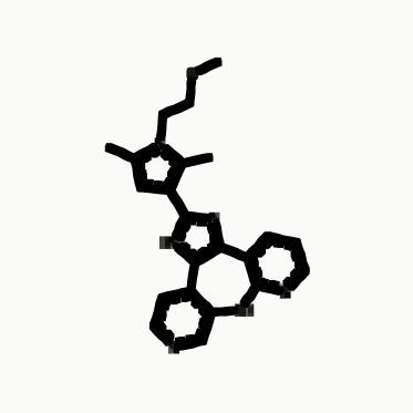 COCCn1c(C)cc(-c2nc3c([nH]2)-c2ccncc2Nc2ncccc2-3)c1C